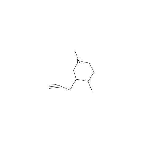 C#CCC1CN(C)CCC1C